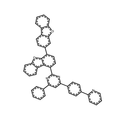 c1ccc(-c2cc(-c3ccc(-c4ccccn4)cc3)nc(-c3ccc(-c4ccc5c(c4)oc4ccccc45)c4oc5ccccc5c34)n2)cc1